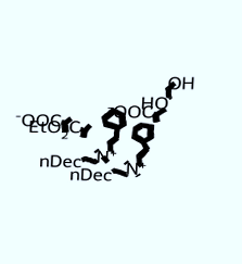 C=C(C)C(=O)OCC.C=C(C)C(=O)[O-].C=C(C)C(=O)[O-].CCCCCCCCCCCC[N+](C)(C)CC=Cc1ccccc1.CCCCCCCCCCCC[N+](C)(C)CC=Cc1ccccc1.OCCO